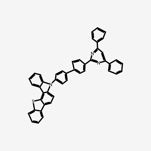 c1ccc(-c2cc(-c3ccccc3)nc(-c3ccc(-c4ccc(-n5c6ccccc6c6c7sc8ccccc8c7ccc65)cc4)cc3)n2)cc1